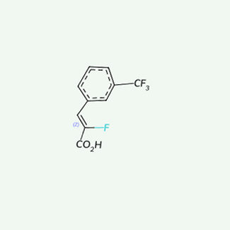 O=C(O)/C(F)=C/c1cccc(C(F)(F)F)c1